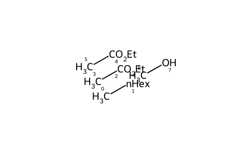 CCCCCCC.CCOC(C)=O.CCOC(C)=O.CO